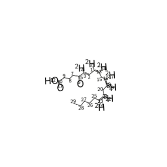 [2H]C(/C=C(\[2H])C(=O)CCCC(=O)O)=C(\[2H])C/C([2H])=C(/[2H])C/C([2H])=C(/[2H])CCCCC